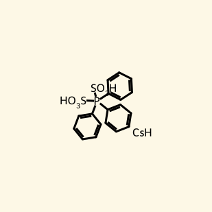 O=S(=O)(O)P(c1ccccc1)(c1ccccc1)(c1ccccc1)S(=O)(=O)O.[CsH]